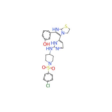 O=S(=O)(c1ccc(Cl)cc1)N1CCC(NC2N=CC=C(C3=C(c4cccc(O)c4)NC4SCCN34)N2)CC1